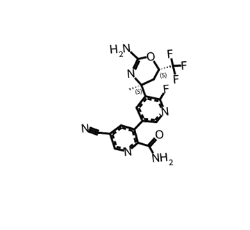 C[C@@]1(c2cc(-c3cc(C#N)cnc3C(N)=O)cnc2F)C[C@@H](C(F)(F)F)OC(N)=N1